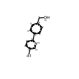 CCc1ccc(-c2ccc(CO)cc2)nc1